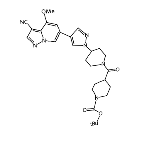 COc1cc(-c2cnn(C3CCN(C(=O)C4CCN(C(=O)OC(C)(C)C)CC4)CC3)c2)cn2ncc(C#N)c12